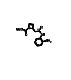 CC[C@H](CC1C=CN1C(=O)OC)Nc1ccccc1N